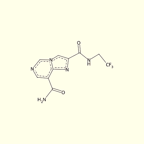 NC(=O)c1cncn2cc(C(=O)NCC(F)(F)F)nc12